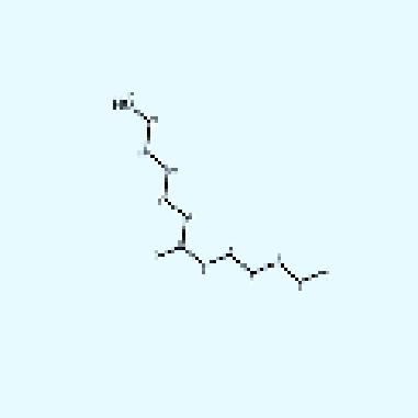 CCCCCCC(C)CCCCCO